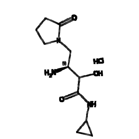 Cl.N[C@@H](CN1CCCC1=O)C(O)C(=O)NC1CC1